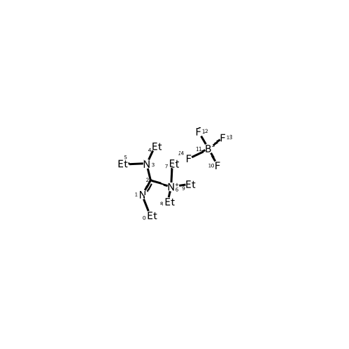 CCN=C(N(CC)CC)[N+](CC)(CC)CC.F[B-](F)(F)F